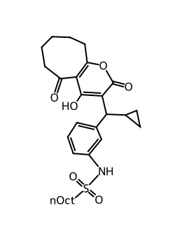 CCCCCCCCS(=O)(=O)Nc1cccc(C(c2c(O)c3c(oc2=O)CCCCCC3=O)C2CC2)c1